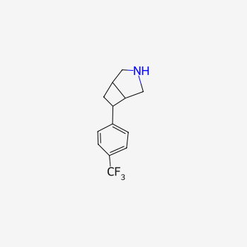 FC(F)(F)c1ccc(C2CC3CNCC32)cc1